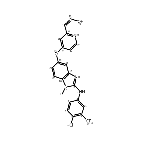 Cn1c(Nc2ccc(Cl)c(C(F)(F)F)c2)nc2cc(Oc3ccnc(/C=N\O)c3)ccc21